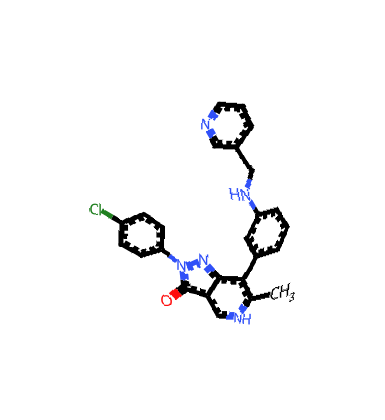 Cc1[nH]cc2c(=O)n(-c3ccc(Cl)cc3)nc-2c1-c1cccc(NCc2cccnc2)c1